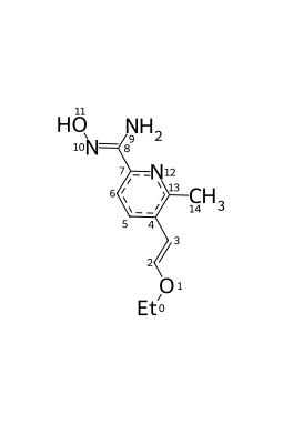 CCO/C=C/c1ccc(C(N)=NO)nc1C